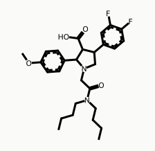 CCCCN(CCCC)C(=O)CN1CC(c2ccc(F)c(F)c2)C(C(=O)O)C1c1ccc(OC)cc1